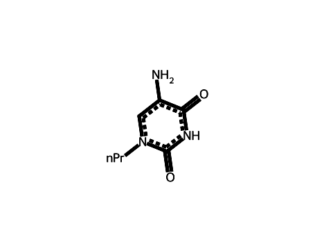 CCCn1cc(N)c(=O)[nH]c1=O